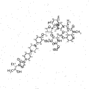 CC[C@@H]([C@H](C)O)n1ncn(-c2ccc(N3CCN(c4ccc(OC[C@@H]5CO[C@@](CN6C=[N+](C(C)OC(=O)N(C)c7ncccc7COC(=O)CC(NC(=O)OC(C)(C)C)C(=O)OC(C)(C)C)CN6)(C6CC=C(F)C=C6F)C5)cc4)CC3)cc2)c1=O